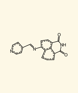 O=C1NC(=O)c2ccc(/N=C/c3ccncc3)c3cccc1c23